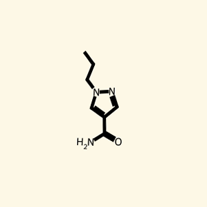 CCCn1cc(C(N)=O)cn1